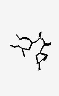 C=C1C=CC(C(=C)N(C)C(CCC)CC(C)CCC)=CC1